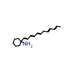 CC=CC=CCC=CC=CC=CC1(N)CCCCC1